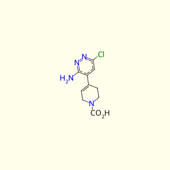 Nc1nnc(Cl)cc1C1=CCN(C(=O)O)CC1